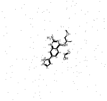 COC[C@@H](C)Nc1nc(N)nc2cc(-c3ccn[nH]3)ccc12.O=CO